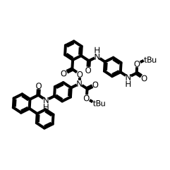 CC(C)(C)OC(=O)Nc1ccc(NC(=O)c2ccccc2C(=O)ON(C(=O)OC(C)(C)C)c2ccc(NC(=O)c3ccccc3-c3ccccc3)cc2)cc1